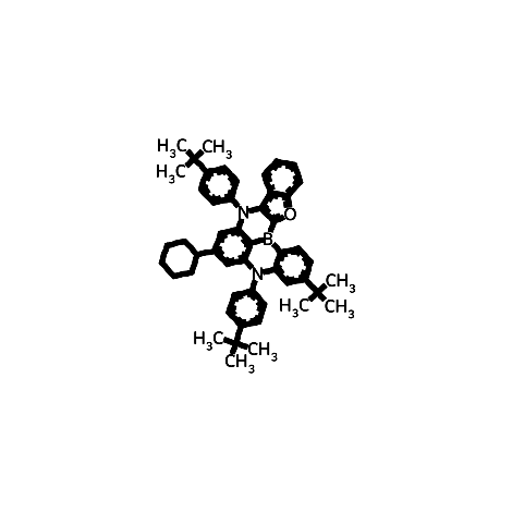 CC(C)(C)c1ccc(N2c3cc(C(C)(C)C)ccc3B3c4oc5ccccc5c4N(c4ccc(C(C)(C)C)cc4)c4cc(C5CCCCC5)cc2c43)cc1